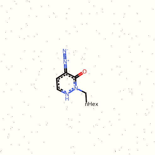 CCCCCCCn1[nH]ccc(=[N+]=[N-])c1=O